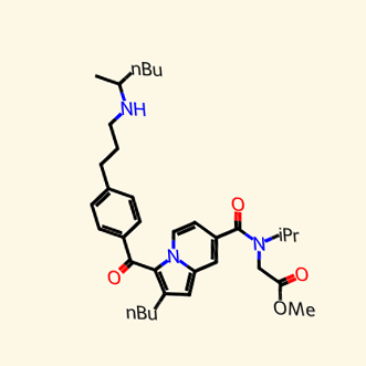 CCCCc1cc2cc(C(=O)N(CC(=O)OC)C(C)C)ccn2c1C(=O)c1ccc(CCCNC(C)CCCC)cc1